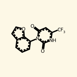 O=c1cc(C(F)(F)F)[nH]c(=O)n1-c1cccc2ccoc12